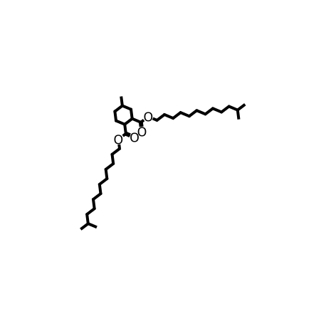 CC(C)CCCCCCCCCCOC(=O)C1CCC(C)CC1C(=O)OCCCCCCCCCCC(C)C